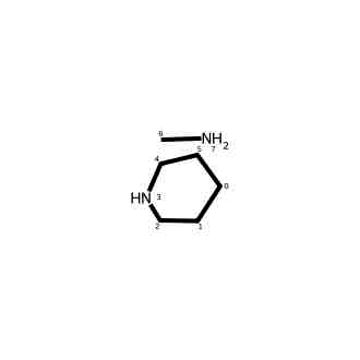 C1CCNCC1.CN